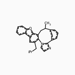 CC(C)Cc1cc2c(oc3ccccc32)c2c1-n1ccnc1-c1cccc(c1)C(C)C2